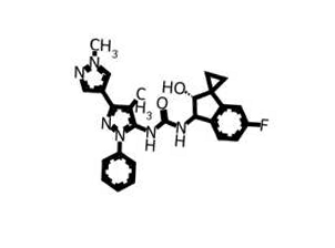 Cc1c(-c2cnn(C)c2)nn(-c2ccccc2)c1NC(=O)NC1c2ccc(F)cc2C2(CC2)[C@H]1O